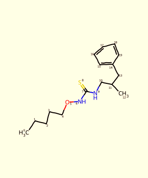 CCCCCONC(=S)NCC(C)Cc1ccccc1